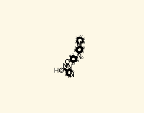 CN(c1ccc(Oc2nc(O)c3ccncc3n2)cc1)c1ccc(N2CCCCC2)cc1